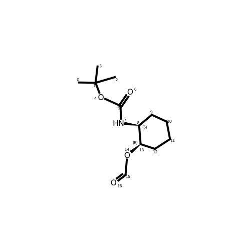 CC(C)(C)OC(=O)N[C@H]1CCCC[C@H]1OC=O